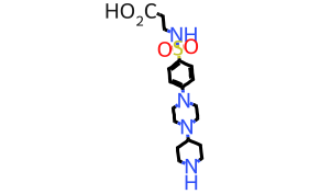 O=C(O)CCNS(=O)(=O)c1ccc(N2CCN(C3CCNCC3)CC2)cc1